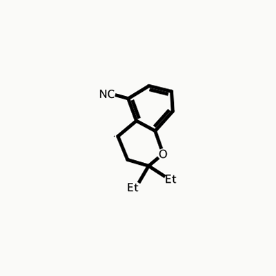 CCC1(CC)C[CH]c2c(C#N)cccc2O1